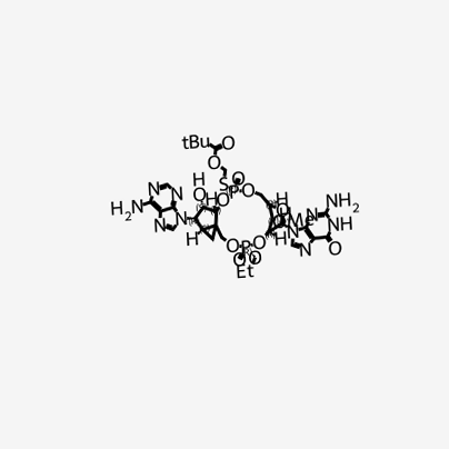 CCO[P@]1(=O)OCC23C[C@@H]2[C@@H](n2cnc4c(N)ncnc42)[C@H](O)[C@@H]3O[P@](=O)(SCOC(=O)C(C)(C)C)OC[C@H]2O[C@@H](n3cnc4c(=O)[nH]c(N)nc43)[C@H](O1)[C@@H]2OC